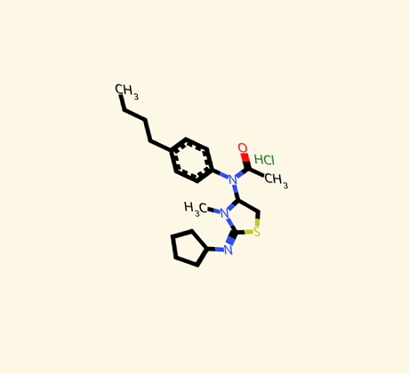 CCCCc1ccc(N(C(C)=O)C2CSC(=NC3CCCC3)N2C)cc1.Cl